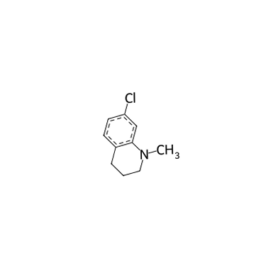 CN1CCCc2ccc(Cl)cc21